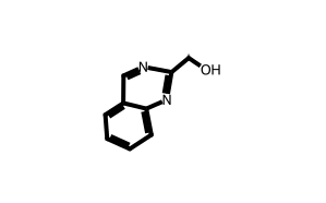 O[CH]c1ncc2ccccc2n1